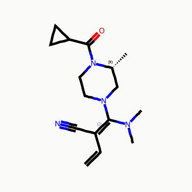 C=C/C(C#N)=C(\N(C)C)N1CCN(C(=O)C2CC2)[C@H](C)C1